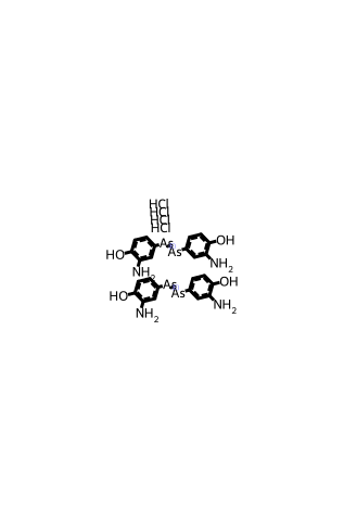 Cl.Cl.Cl.Cl.Nc1cc(/[As]=[As]/c2ccc(O)c(N)c2)ccc1O.Nc1cc(/[As]=[As]/c2ccc(O)c(N)c2)ccc1O